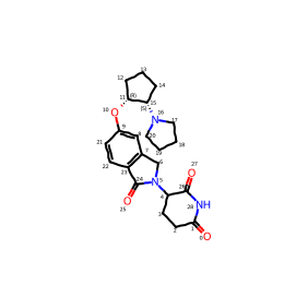 O=C1CCC(N2Cc3cc(O[C@@H]4CCC[C@@H]4N4CCCC4)ccc3C2=O)C(=O)N1